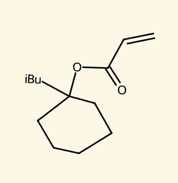 C=CC(=O)OC1(C(C)CC)CCCCC1